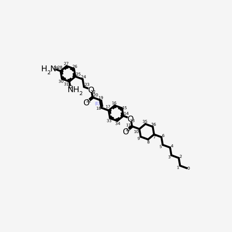 CCCCCCCC1CCC(C(=O)Oc2ccc(/C=C/C(=O)OCCc3ccc(N)cc3N)cc2)CC1